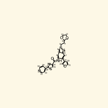 O=C(Nc1cc2cn(CCC3OCCO3)nc2cc1-c1ccoc1)c1csc(-c2ccncc2)n1